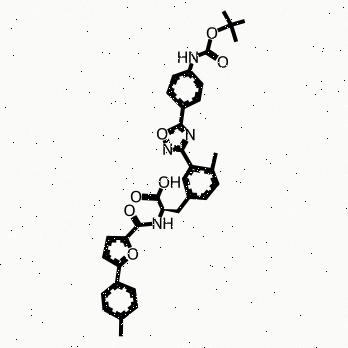 Cc1ccc(-c2ccc(C(=O)N[C@H](Cc3ccc(C)c(-c4noc(-c5ccc(NC(=O)OC(C)(C)C)cc5)n4)c3)C(=O)O)o2)cc1